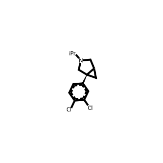 CC(C)N1CC2C[C@]2(c2ccc(Cl)c(Cl)c2)C1